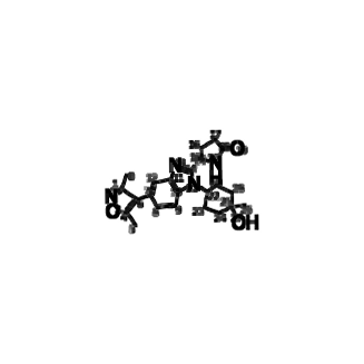 Cc1noc(C)c1-c1ccc2c(c1)nc([C@@H]1CCC(=O)N1)n2C1CCC(C)(O)CC1